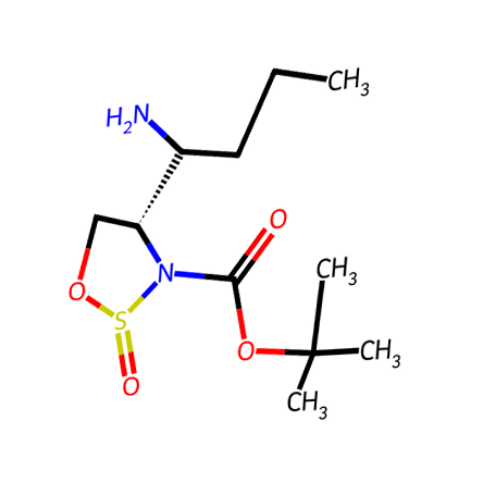 CCCC(N)[C@H]1COS(=O)N1C(=O)OC(C)(C)C